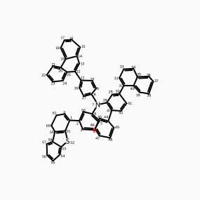 C1=C(c2cccc(N(c3ccc(-c4cc5ccccc5c5ccccc45)cc3)c3cc(-c4cccc5ccccc45)ccc3-c3ccccc3)c2)c2sc3ccccc3c2CC1